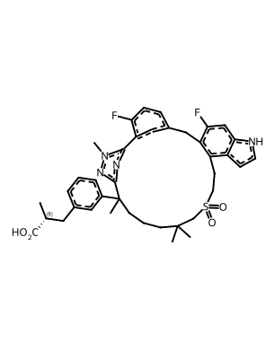 C[C@H](Cc1cccc(C2(C)CCCC(C)(C)CS(=O)(=O)CCc3c(c(F)cc4[nH]ccc34)Cc3ccc(F)c(c3)-c3nc2nn3C)c1)C(=O)O